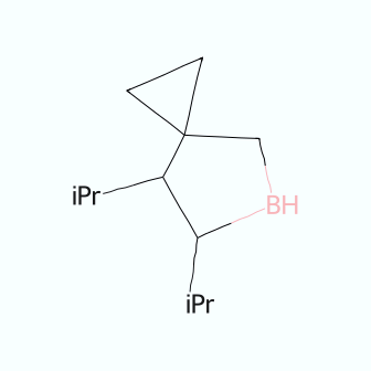 CC(C)C1BCC2(CC2)C1C(C)C